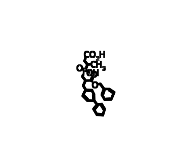 CC(CC(=O)O)P(=O)(O)CC(Cc1ccc(-c2ccccc2)cc1)C(=O)OCc1ccccc1